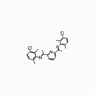 CC(=Nc1c(C)ccc(Cl)c1C)c1cccc(C(C)=Nc2c(C)ccc(Cl)c2C)n1